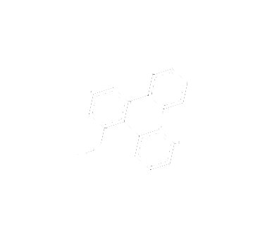 COc1cccc(-c2ccccc2)c1-c1ccccc1